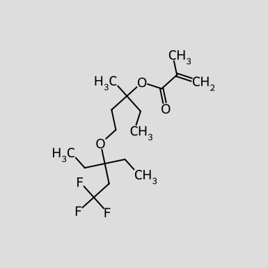 C=C(C)C(=O)OC(C)(CC)CCOC(CC)(CC)CC(F)(F)F